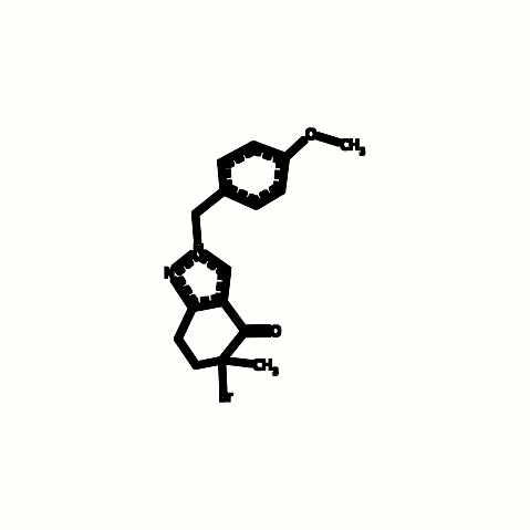 COc1ccc(Cn2cc3c(n2)CCC(C)(Br)C3=O)cc1